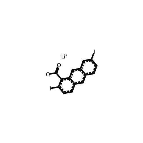 O=C([O-])c1c(I)ccc2cc3ccc(I)cc3cc12.[Li+]